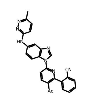 CC(=O)c1ccc(-n2cnc3cc(Nc4ccc(C)nn4)ccc32)nc1-c1ccccc1C#N